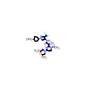 C=NN1C=CC(N2C[C@H](C)O[C@@H](C)C2)=N/C1=C(/C)C(=O)Nc1cn([C@H]2CC[C@H](C=O)CC2)nc1C(F)F